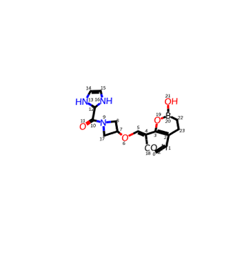 C=CC1=C(/C(=C/OC2CN(C(=O)C3NC=CN3)C2)C(=O)O)OB(O)CC1